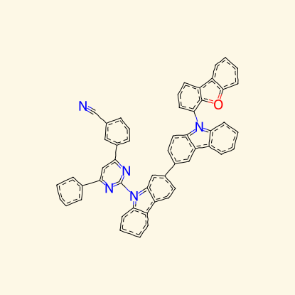 N#Cc1cccc(-c2cc(-c3ccccc3)nc(-n3c4ccccc4c4ccc(-c5ccc6c(c5)c5ccccc5n6-c5cccc6c5oc5ccccc56)cc43)n2)c1